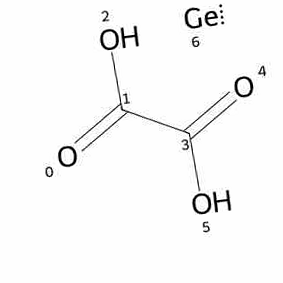 O=C(O)C(=O)O.[Ge]